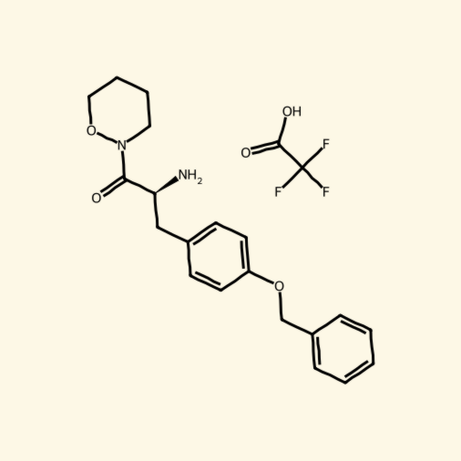 N[C@@H](Cc1ccc(OCc2ccccc2)cc1)C(=O)N1CCCCO1.O=C(O)C(F)(F)F